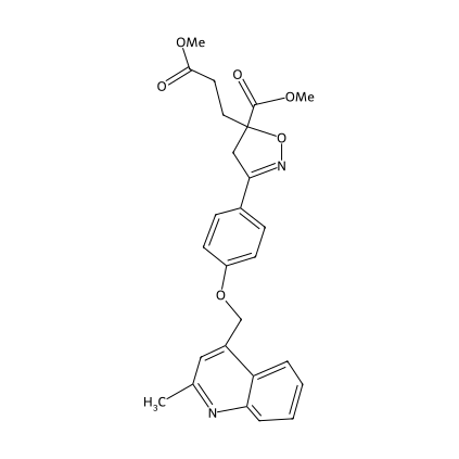 COC(=O)CCC1(C(=O)OC)CC(c2ccc(OCc3cc(C)nc4ccccc34)cc2)=NO1